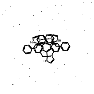 C1=CN(c2ccccc2)C(Cc2ccccc2)(c2cc(C3(Cc4ccccc4)NC=CN3c3ccccc3)cc(C3(Cc4ccccc4)NC=CN3c3ccccc3)c2)N1